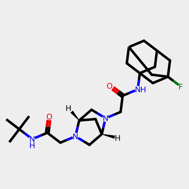 CC(C)(C)NC(=O)CN1C[C@@H]2C[C@H]1CN2CC(=O)NC12CC3CC(CC(F)(C3)C1)C2